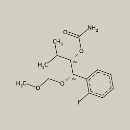 COCO[C@@H](c1ccccc1I)[C@@H](OC(N)=O)C(C)C